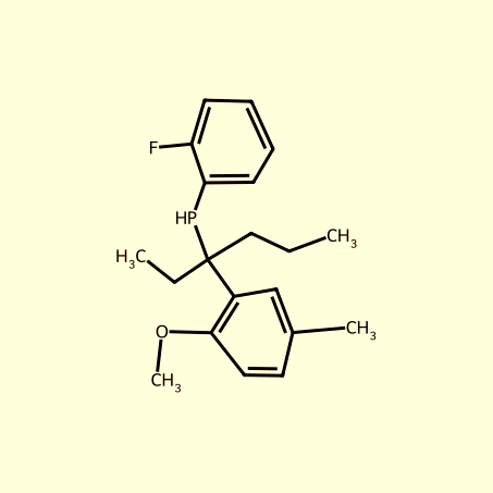 CCCC(CC)(Pc1ccccc1F)c1cc(C)ccc1OC